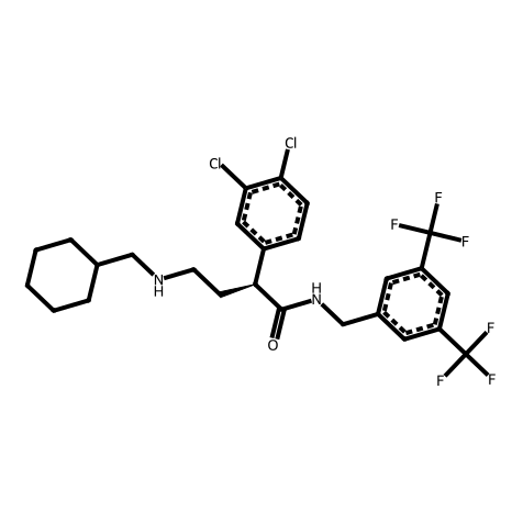 O=C(NCc1cc(C(F)(F)F)cc(C(F)(F)F)c1)[C@@H](CCNCC1CCCCC1)c1ccc(Cl)c(Cl)c1